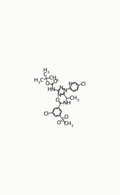 CC(NC(=O)c1cc(Cl)cc(S(C)(=O)=O)c1)c1nc(NC(=O)OC(C)(C)C)nn1-c1ccc(Cl)cn1